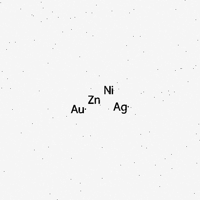 [Ag].[Au].[Ni].[Zn]